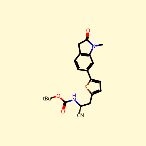 CN1C(=O)Cc2ccc(-c3ccc(C[C@@H](C#N)NC(=O)OC(C)(C)C)s3)cc21